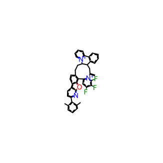 C=C1CC2c3ccccc3-c3cccc[n+]3C2CCc2ccc3c(oc4nc(-c5c(C)cccc5C)ccc43)c2-c2cc(F)c(F)c(F)[n+]21